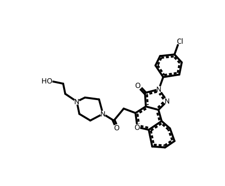 O=C(Cc1oc2ccccc2c2nn(-c3ccc(Cl)cc3)c(=O)c1-2)N1CCN(CCO)CC1